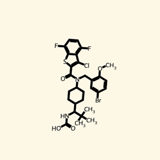 COc1ccc(Br)cc1CN(C(=O)c1sc2c(F)ccc(F)c2c1Cl)C1CCC(C(NC(=O)O)C(C)(C)C)CC1